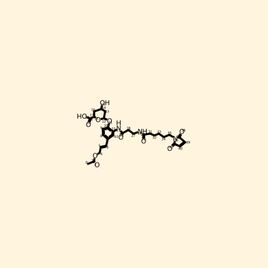 CC(=O)OC/C=C/c1ccc(OC2CC(O)CC(C(=O)O)O2)c(NC(=O)CCNC(=O)CCCCCN2C(=O)C=CC2=O)c1